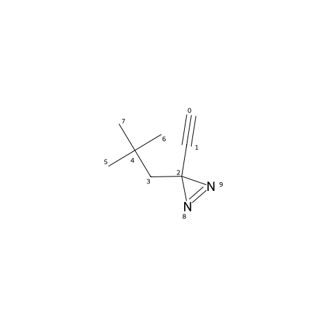 C#CC1(CC(C)(C)C)N=N1